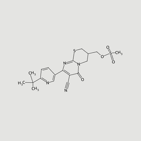 CC(C)(C)c1ccc(-c2nc3n(c(=O)c2C#N)CC(COS(C)(=O)=O)CS3)cn1